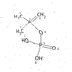 C=P(C)(C)OP(=O)(O)O